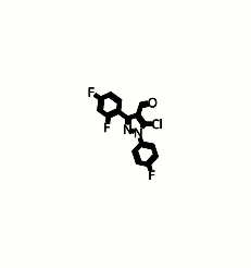 O=Cc1c(-c2ccc(F)cc2F)nn(-c2ccc(F)cc2)c1Cl